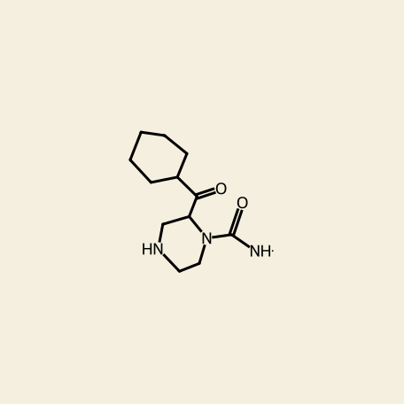 [NH]C(=O)N1CCNCC1C(=O)C1CCCCC1